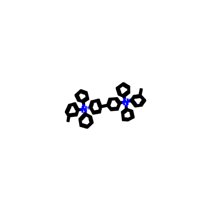 Cc1cccc([N+](c2ccccc2)(c2ccccc2)c2ccc(-c3ccc([N+](c4ccccc4)(c4ccccc4)c4cccc(C)c4)cc3)cc2)c1